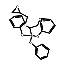 CCC(OCC1CO1)[Si](Oc1ccccc1)(Oc1ccccc1)Oc1ccccc1